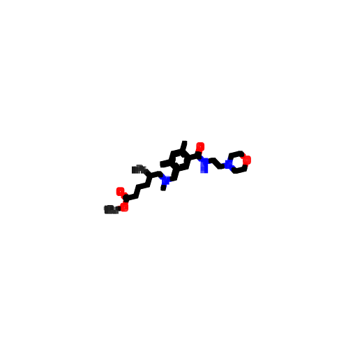 C=c1cc(C)c(C(=O)NCCN2CCOCC2)c/c1=C/N(C)CC(CCC)CCCC(=O)OC(C)(C)C